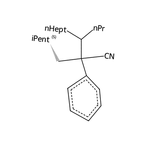 CCCCCCCC(CCC)C(C#N)(C[C@@H](C)CCC)c1ccccc1